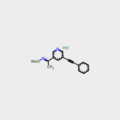 CO/N=C(\C)c1cncc(C#Cc2ccccc2)c1.Cl